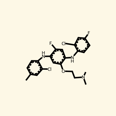 Cc1ccc(Nc2cc(OCCN(C)C)c(Nc3ccc(F)cc3Cl)cc2F)c(Cl)c1